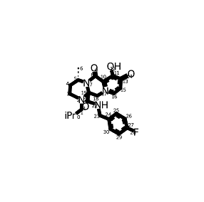 CC(C)CN1CC[C@H](C)N2C(=O)c3c(O)c(=O)ccn3CC12C(=O)NCc1ccc(F)cc1